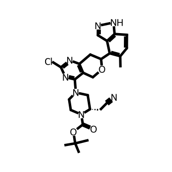 Cc1ccc2[nH]ncc2c1C1Cc2nc(Cl)nc(N3CCN(C(=O)OC(C)(C)C)[C@@H](CC#N)C3)c2CO1